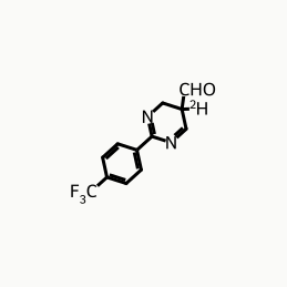 [2H]C1(C=O)C=NC(c2ccc(C(F)(F)F)cc2)=NC1